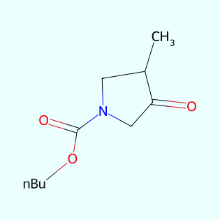 CCCCOC(=O)N1CC(=O)C(C)C1